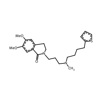 COc1cc2c(cc1OC)C(=O)N(CCCN(C)CCCCc1cccs1)CC2